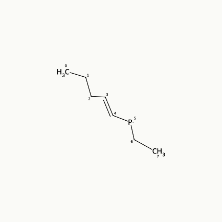 CCCC=C[P]CC